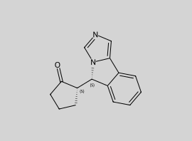 O=C1CCC[C@H]1[C@H]1c2ccccc2-c2cncn21